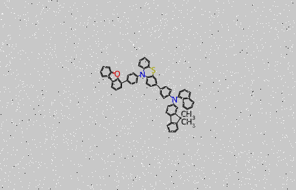 CC1(C)c2ccccc2-c2ccc(N(c3ccc(-c4ccc5c(c4)Sc4ccccc4N5c4ccc(-c5cccc6c5oc5ccccc56)cc4)cc3)c3cccc4ccccc34)cc21